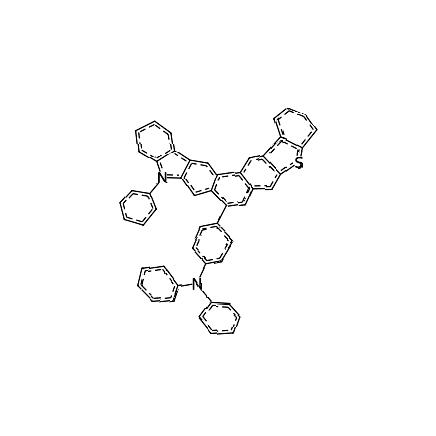 c1ccc(N(c2ccccc2)c2ccc(-c3cc4cc5sc6ccccc6c5cc4c4cc5c6ccccc6n(-c6ccccc6)c5cc34)cc2)cc1